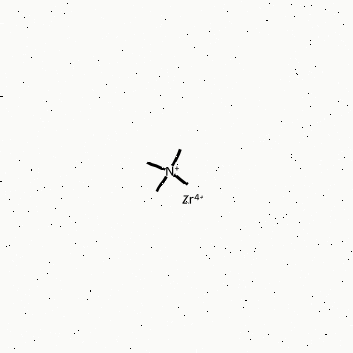 C[N+](C)(C)C.[Zr+4]